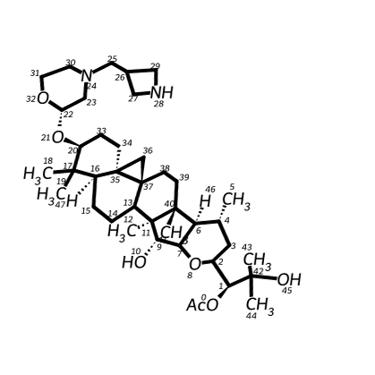 CC(=O)O[C@@H](C1C[C@@H](C)[C@H]2C(O1)[C@H](O)[C@@]1(C)C3CC[C@H]4C(C)(C)[C@@H](O[C@H]5CN(CC6CNC6)CCO5)CC[C@@]45C[C@@]35CC[C@]21C)C(C)(C)O